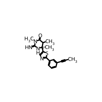 CC#Cc1cccc(-c2ncc([C@@]3(C)NC(=N)N(C)C(=O)C3C)s2)c1